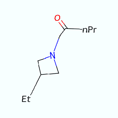 CCCC(=O)N1CC(CC)C1